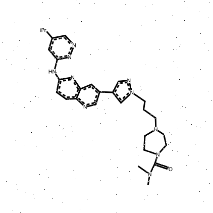 CC(C)c1cnnc(Nc2ccc3ncc(-c4cnn(CCCN5CCN(C(=O)N(C)C)CC5)c4)cc3n2)c1